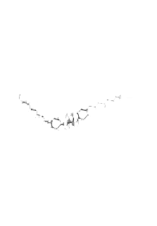 CCCCCCCCc1ccc([O][Al]([Cl])[O]c2ccc(CCCCCCCC)cc2)cc1